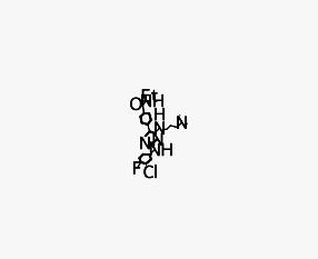 CCNC(=O)c1ccc(-c2cnc(Nc3ccc(F)c(Cl)c3)nc2NCCCN(C)C)cc1